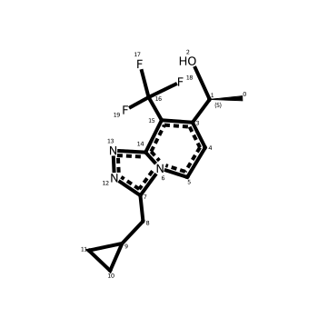 C[C@H](O)c1ccn2c(CC3CC3)nnc2c1C(F)(F)F